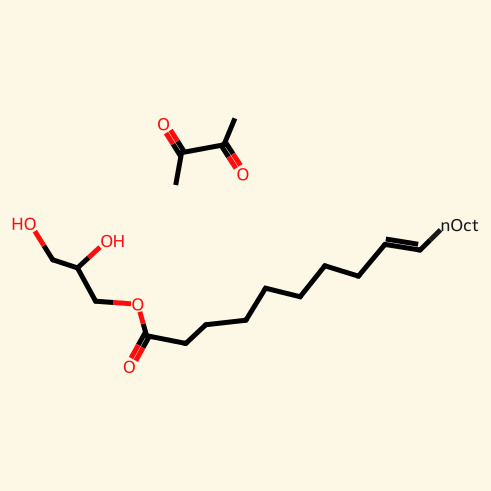 CC(=O)C(C)=O.CCCCCCCCC=CCCCCCCCC(=O)OCC(O)CO